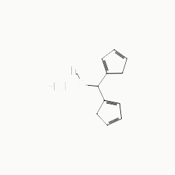 Cl.[Ti][O]C(C1=CC=CC1)C1=CC=CC1